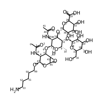 CC(=O)N[C@H]1C(O[C@@H]2O[C@@H](C)[C@@H](O[C@@H]3OC(CO)[C@@H](O)C(O)[C@@H]3O)C(O[C@@H]3OC(C(=O)O)[C@@H](O)C(O)[C@@H]3O)[C@@H]2NC(C)=O)[C@H]2OC2O[C@H]1OCCCCCN